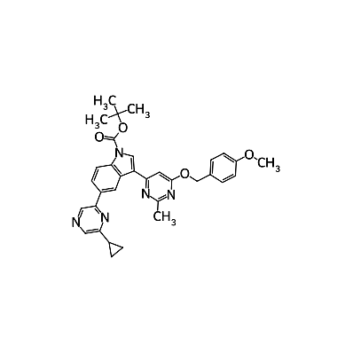 COc1ccc(COc2cc(-c3cn(C(=O)OC(C)(C)C)c4ccc(-c5cncc(C6CC6)n5)cc34)nc(C)n2)cc1